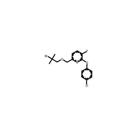 CC(C)(Br)COCc1ccc(F)c(Oc2ccc(Cl)cc2)n1